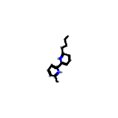 CCCCc1cccc(-c2cccc(C)n2)n1